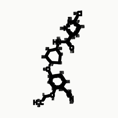 CCOc1cc(O[C@H]2CC[C@H](NC(=O)c3ccc(Cl)nn3)CC2)ccc1C#N